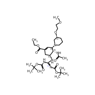 CCOC(=O)C1=C[C@@H](N2CCC[C@H](OCCOC)C2)[C@H](NC(C)=O)[C@@H](N/C(=N\C(=O)OC(C)(C)C)NC(=O)OC(C)(C)C)C1